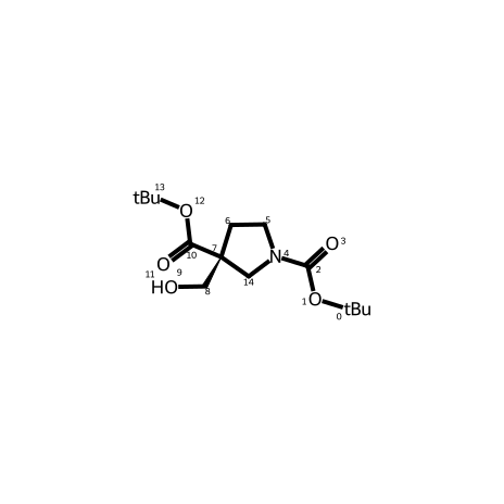 CC(C)(C)OC(=O)N1CC[C@@](CO)(C(=O)OC(C)(C)C)C1